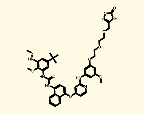 COc1cc(Nc2cc(Oc3ccc(NC(=O)Nc4cc(C(C)(C)C)cc(NSC)c4OC)c4ccccc34)ccn2)cc(OCCOCCOCc2noc(=O)[nH]2)c1